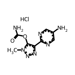 Cl.Cn1nnc(-c2ncc(N)cn2)c1OC(N)=O